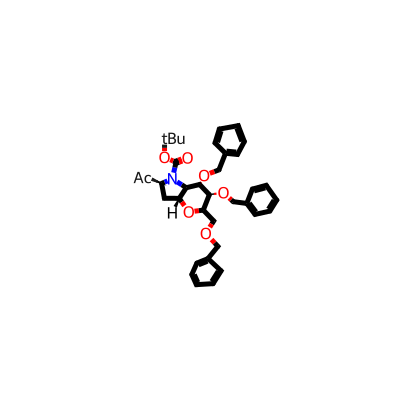 CC(=O)[C@@H]1C[C@H]2OC(COCc3ccccc3)[C@@H](OCc3ccccc3)[C@@H](OCc3ccccc3)C2N1C(=O)OC(C)(C)C